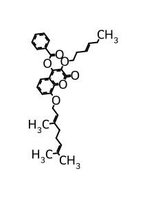 CC/C=C/CCOc1c(OC(=O)c2ccccc2)c2cccc(OC/C=C(\C)CCC=C(C)C)c2oc1=O